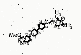 COc1nnc2ccc(N3CCC(c4ccc(OCCN5CCN(C)C(=O)[C@H]5C)cc4)CC3)cn12